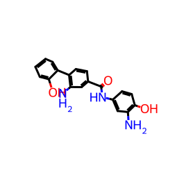 Nc1cc(NC(=O)c2ccc(-c3ccccc3O)c(N)c2)ccc1O